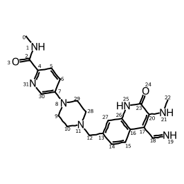 CNC(=O)c1ccc(N2CCN(Cc3ccc4c(C=N)c(NC)c(=O)[nH]c4c3)CC2)cn1